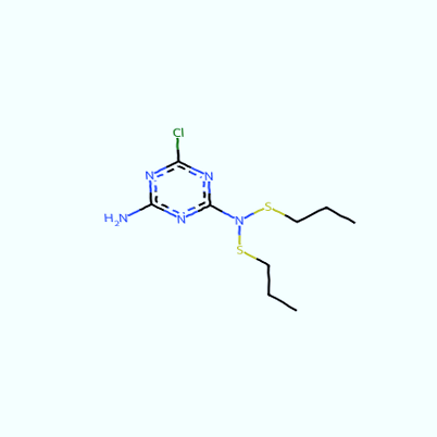 CCCSN(SCCC)c1nc(N)nc(Cl)n1